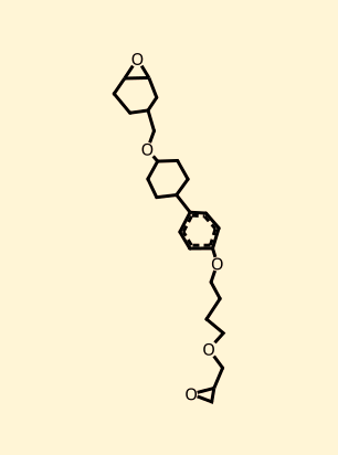 c1cc(C2CCC(OCC3CCC4OC4C3)CC2)ccc1OCCCCOCC1CO1